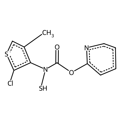 Cc1csc(Cl)c1N(S)C(=O)Oc1ccccn1